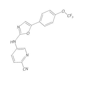 N#Cc1ccc(Nc2ncc(-c3ccc(OC(F)(F)F)cc3)o2)cn1